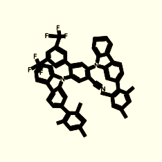 Cc1cc(C)c(-c2ccc3c4ccccc4n(-c4cc(-c5cc(C(F)(F)F)cc(C(F)(F)F)c5)c(-n5c6ccccc6c6ccc(-c7c(C)cc(C)cc7C)cc65)cc4C#N)c3c2)c(C)c1